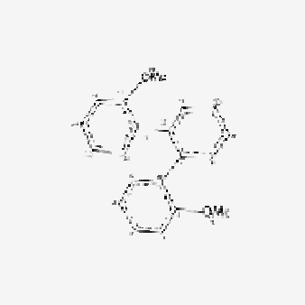 COc1ccccc1-c1ccccc1-c1ccccc1OC